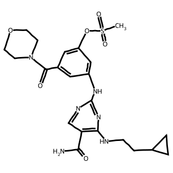 CS(=O)(=O)Oc1cc(Nc2ncc(C(N)=O)c(NCCC3CC3)n2)cc(C(=O)N2CCOCC2)c1